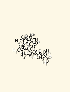 CC(C)(C)C(=O)CC(=O)C(C)(C)C(=O)[O-].CC(C)(C)C(=O)CC(=O)C(C)(C)C(=O)[O-].CC(C)(C)C(=O)CC(=O)C(C)(C)C(=O)[O-].[Ir+3]